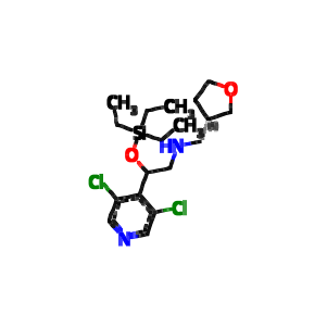 CC[Si](CC)(CC)OC(CNC[C@@H]1CCOC1)c1c(Cl)cncc1Cl